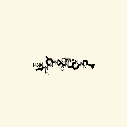 COC1(C(=O)NCc2ccc(-n3ccc(C4CC4)n3)nc2)CN(c2cc(C)cc(Nc3cc(C)[nH]n3)n2)C1